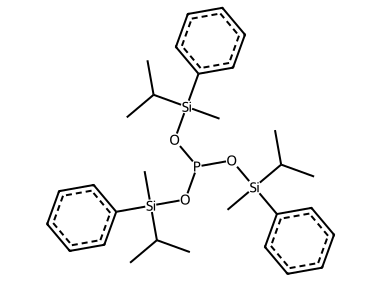 CC(C)[Si](C)(OP(O[Si](C)(c1ccccc1)C(C)C)O[Si](C)(c1ccccc1)C(C)C)c1ccccc1